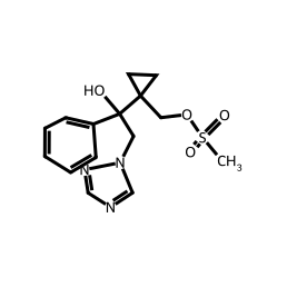 CS(=O)(=O)OCC1(C(O)(Cn2cncn2)c2ccccc2)CC1